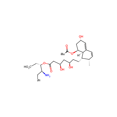 CC[C@H](C)C(=O)O[C@H]1C[C@H](O)C=C2C=C[C@H](C)[C@H](CC[C@@H](O)C[C@@H](O)CC(=O)O[C@@H](CC(=O)O)[C@@H](N)CC(C)C)[C@H]21